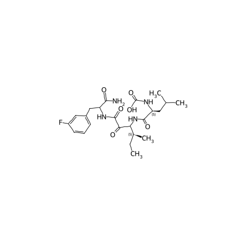 CC[C@H](C)C(NC(=O)[C@H](CC(C)C)NC(=O)O)C(=O)C(=O)NC(Cc1cccc(F)c1)C(N)=O